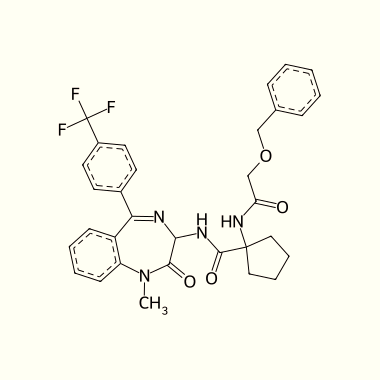 CN1C(=O)C(NC(=O)C2(NC(=O)COCc3ccccc3)CCCC2)N=C(c2ccc(C(F)(F)F)cc2)c2ccccc21